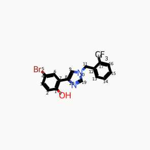 Oc1ccc(Br)cc1-c1cn(Cc2ccccc2C(F)(F)F)cn1